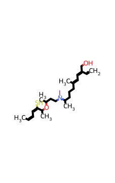 C=C/C(=C\C=C(/C)CCCC(C)N(I)CCC(C)OC(C)/C(S)=C\C=C/C)CO